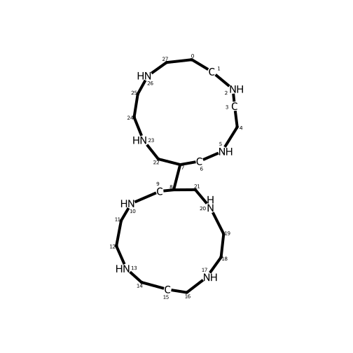 C1CNCCNCC(C2CNCCNCCCNCCNC2)CNCCNC1